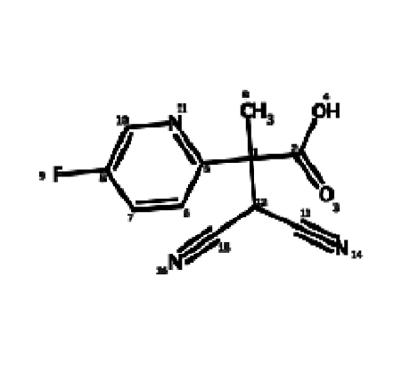 CC(C(=O)O)(c1ccc(F)cn1)C(C#N)C#N